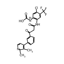 Cc1nccc(-c2cccc(C(=O)CC(=O)Nc3cc(C(F)(F)F)c(Cl)cc3NC(=O)O)c2)c1C